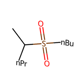 CCCCS(=O)(=O)C(C)CCC